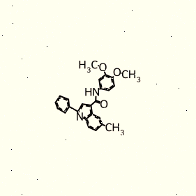 COc1ccc(NC(=O)c2cc(-c3ccccc3)nc3ccc(C)cc23)cc1OC